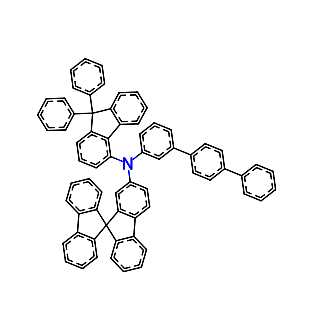 c1ccc(-c2ccc(-c3cccc(N(c4ccc5c(c4)C4(c6ccccc6-c6ccccc64)c4ccccc4-5)c4cccc5c4-c4ccccc4C5(c4ccccc4)c4ccccc4)c3)cc2)cc1